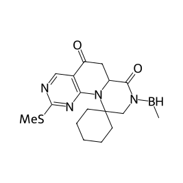 CBN1CC2(CCCCC2)N2c3nc(SC)ncc3C(=O)CC2C1=O